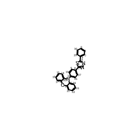 c1ccc(-c2nnc(-c3ccc(N4c5ccccc5Oc5ccccc54)cc3)s2)cc1